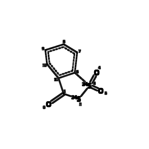 O=C1[34S][34S](=O)(=O)c2ccccc21